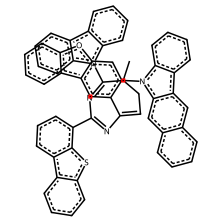 CC1C/C=C(c2cc3c(cc2-n2c4ccccc4c4cc5ccccc5cc42)oc2ccccc23)/N=C(c2cccc3c2sc2ccccc23)\N=C/1n1c2ccccc2c2ccccc21